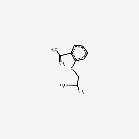 C=C(C)c1ccccc1OCC(C)C